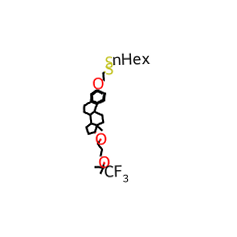 CCCCCCSSCCOc1ccc2c(c1)CCC1C2CCC2(C)C(OCCCOC(C)(C)C(F)(F)F)CCC12